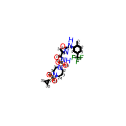 Cc1ccc(C(F)(F)F)cc1Nc1nc(C(=O)NS(=O)(=O)N2CCCN(S(=O)(=O)C3CC3)CC2)co1